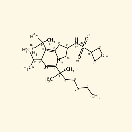 CCSCCC(C)(C)C1=NC(C(C)C)C(C(C)(C)C)=C2CC(NS(=O)(=O)C3COC3)CN12